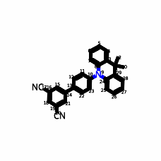 CC1(C)c2ccccc2N(c2ccc(-c3cc(C#N)cc(C#N)c3)cc2)c2ccccc21